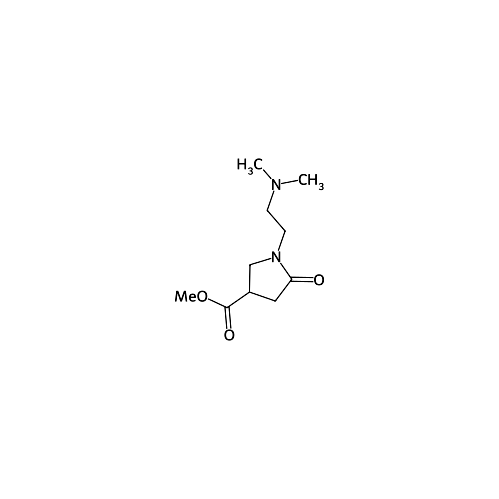 COC(=O)C1CC(=O)N(CCN(C)C)C1